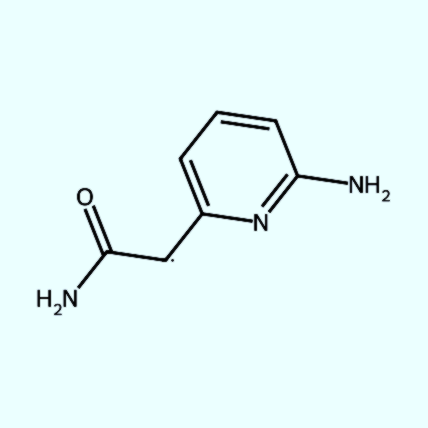 NC(=O)[CH]c1cccc(N)n1